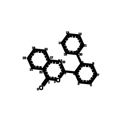 O=c1oc(-c2ccccc2-c2ccccc2)nc2ccccc12